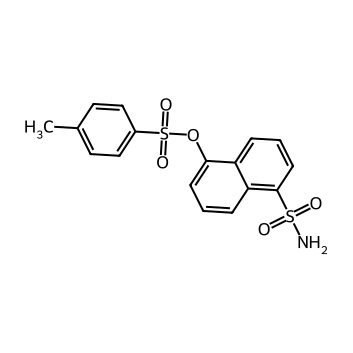 Cc1ccc(S(=O)(=O)Oc2cccc3c(S(N)(=O)=O)cccc23)cc1